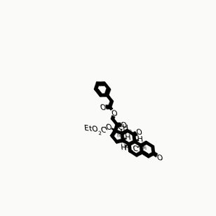 CCOC(=O)O[C@]1(C(=O)COC(=O)Cc2ccccc2)CC[C@H]2[C@@H]3CCC4=CC(=O)CC[C@]4(C)[C@H]3C(=O)C[C@@]21C